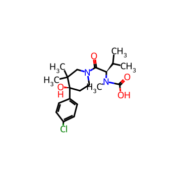 CC(C)[C@H](C(=O)N1CC[C@](O)(c2ccc(Cl)cc2)C(C)(C)C1)N(C)C(=O)O